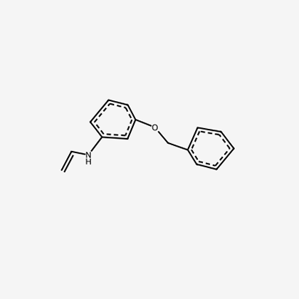 C=CNc1cccc(OCc2ccccc2)c1